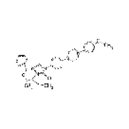 CC[C@@H](C(C)OCc1ccccc1)n1ncn(-c2ccc(N3CCN(c4ccc(OC)cc4)CC3)cc2)c1=O